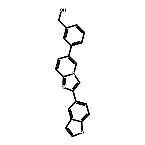 OCc1cccc(-c2ccc3nc(-c4ccc5occc5c4)cn3c2)c1